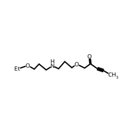 CC#CC(=O)COCCCNCCCOCC